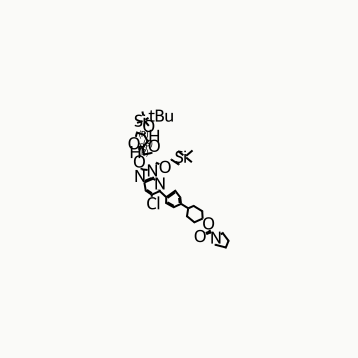 CC(C)(C)[Si](C)(C)O[C@@H]1CO[C@H]2[C@@H]1OC[C@H]2Oc1nc2cc(Cl)c(-c3ccc(C4CCC(OC(=O)N5CCCC5)CC4)cc3)nc2n1COCC[Si](C)(C)C